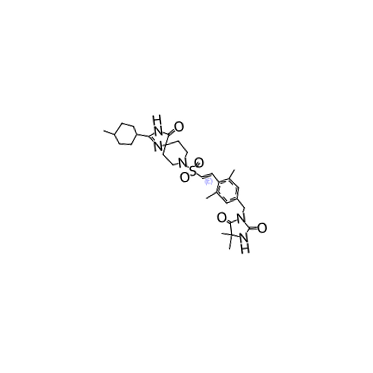 Cc1cc(CN2C(=O)NC(C)(C)C2=O)cc(C)c1/C=C/S(=O)(=O)N1CCC2(CC1)N=C(C1CCC(C)CC1)NC2=O